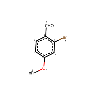 CCCOc1ccc(C=O)c(Br)c1